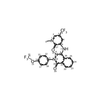 Cn1cc(C(F)(F)F)cc(Nc2nn(-c3ccc(OC(F)(F)F)cc3)c(=O)c3ccccc23)c1=O